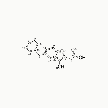 Cc1c(CC(=O)O)oc2ccc(Cc3ccccc3)cc12